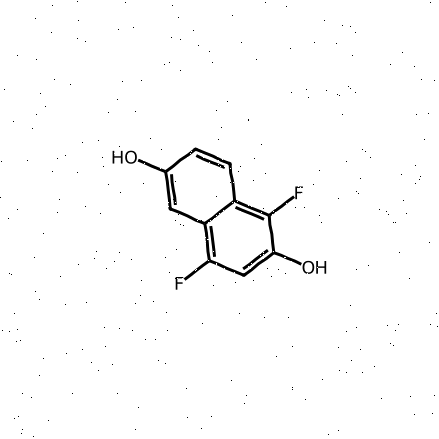 Oc1ccc2c(F)c(O)cc(F)c2c1